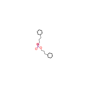 O=[PH](OCCCc1ccccc1)OCCCc1ccccc1